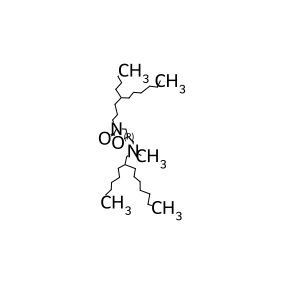 CCCCCCCC(CCCCCC)CN(C)C[C@@H]1CN(CCCC(CCCC)CCCCCC)C(=O)O1